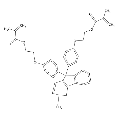 C=C(C)C(=O)OCCOc1ccc(C2(c3ccc(OCCOC(=O)C(=C)C)cc3)C3=C(CC(C)C=C3)c3ccccc32)cc1